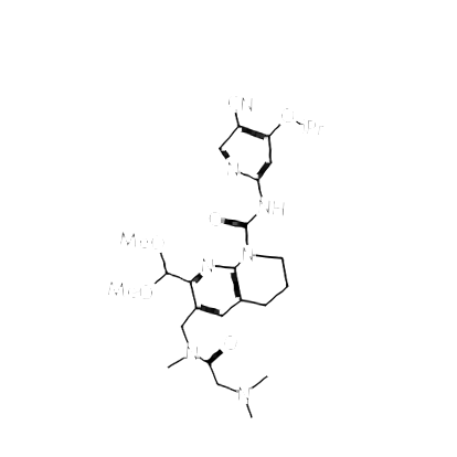 COC(OC)c1nc2c(cc1CN(C)C(=O)CN(C)C)CCCN2C(=O)Nc1cc(OC(C)C)c(C#N)cn1